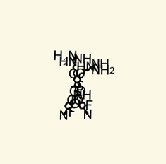 Cc1c(S(=O)(=O)NCP(=O)(Oc2ccc(C#N)c(F)c2)Oc2ccc(C#N)c(F)c2)sc2cc(OCCCNC(=N)N)c(OCCCNC(=N)N)cc12